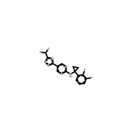 Fc1cccc(C2(Nc3ncc(-c4nnc(C(F)F)o4)cn3)CC2)c1F